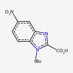 CC(C)(C)n1c(C(=O)O)nc2cc([N+](=O)[O-])ccc21